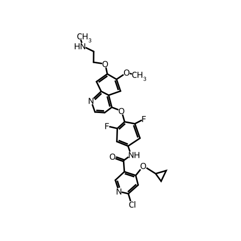 CNCCOc1cc2nccc(Oc3c(F)cc(NC(=O)c4cnc(Cl)cc4OC4CC4)cc3F)c2cc1OC